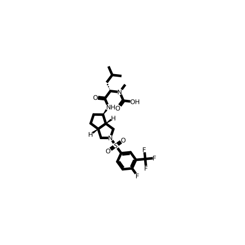 CC(C)C[C@@H](C(=O)N[C@@H]1CC[C@H]2CN(S(=O)(=O)c3ccc(F)c(C(F)(F)F)c3)C[C@H]21)N(C)C(=O)O